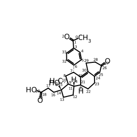 CC(=O)c1ccc([C@H]2C[C@@]3(C)[C@@H](CC[C@]3(O)CCC(=O)O)[C@@H]3CCC4=CC(=O)CCC4=C32)cc1